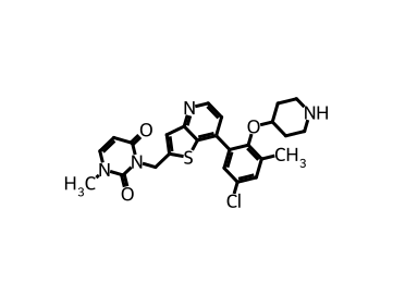 Cc1cc(Cl)cc(-c2ccnc3cc(Cn4c(=O)ccn(C)c4=O)sc23)c1OC1CCNCC1